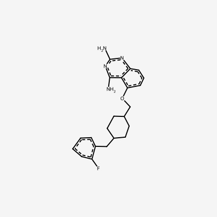 Nc1nc(N)c2c(OCC3CCC(Cc4ccccc4F)CC3)cccc2n1